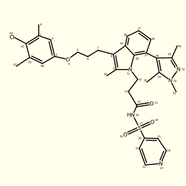 Cc1cc(OCCCc2c(C)n(CCC(=O)NS(=O)(=O)c3ccncc3)c3c(-c4c(C)nn(C)c4C)cccc23)cc(C)c1Cl